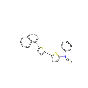 CN(c1ccccc1)c1ccc(-c2ccc(-c3cccc4ccccc34)s2)s1